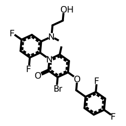 Cc1cc(OCc2ccc(F)cc2F)c(Br)c(=O)n1-c1c(F)cc(F)cc1N(C)CCO